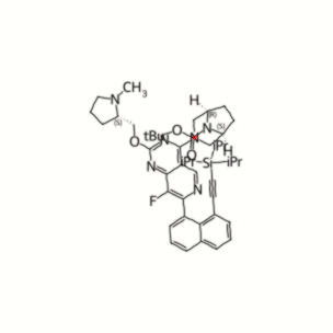 CC(C)[Si](C#Cc1cccc2cccc(-c3ncc4c(N5C[C@H]6CC[C@@H](C5)N6C(=O)OC(C)(C)C)nc(OC[C@@H]5CCCN5C)nc4c3F)c12)(C(C)C)C(C)C